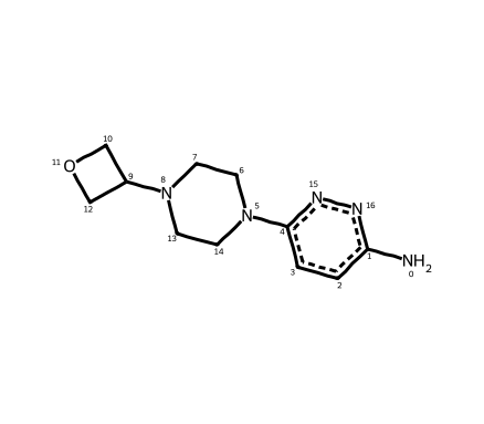 Nc1ccc(N2CCN(C3COC3)CC2)nn1